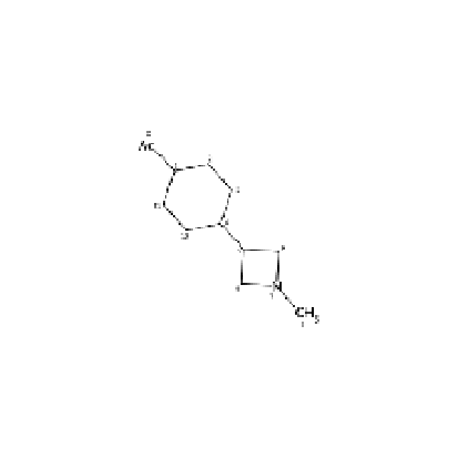 CC(=O)C1CCC(C2CN(C)C2)CC1